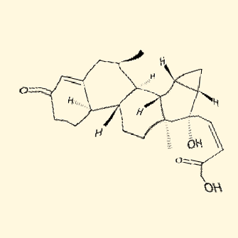 C[C@@H]1CC2=CC(=O)CC[C@@H]2[C@H]2CC[C@@]3(C)[C@@H]([C@@H]4C[C@@H]4[C@@]3(O)/C=C\C(=O)O)[C@@H]21